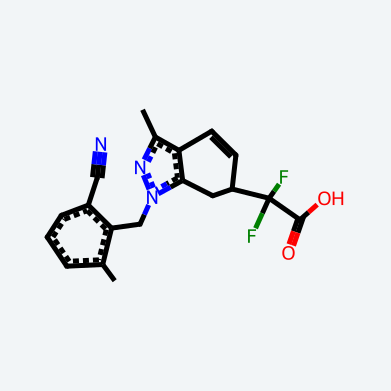 Cc1cccc(C#N)c1Cn1nc(C)c2c1CC(C(F)(F)C(=O)O)C=C2